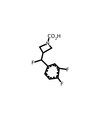 O=C(O)N1CC(C(F)c2ccc(F)c(F)c2)C1